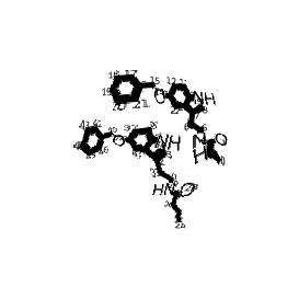 CCC(=O)NCCc1c[nH]c2ccc(OCc3ccccc3)cc12.CCCC(=O)NCCc1c[nH]c2ccc(OCc3ccccc3)cc12